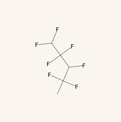 CC(F)(F)C(F)C(F)(F)C(F)F